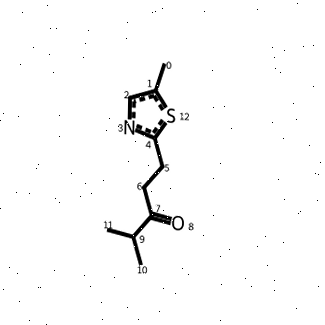 Cc1cnc(CCC(=O)C(C)C)s1